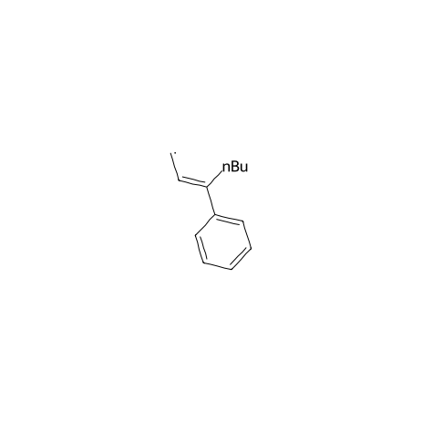 [CH2]C=C(CCCC)c1ccccc1